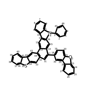 c1ccc(-n2c3ccccc3c3cc4c(cc32)c(-c2ccc3oc5ccccc5c3c2)cc2cc3sc5ccccc5c3cc24)cc1